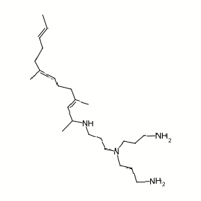 CC=CCCC(C)=CCCC(C)=CC(C)NCCCN(CCCN)CCCN